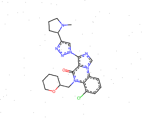 CN1CCCC1c1cn(-c2ncn3c2c(=O)n(CC2CCCCO2)c2c(Cl)cccc23)nn1